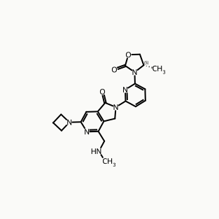 CNCc1nc(N2CCC2)cc2c1CN(c1cccc(N3C(=O)OC[C@@H]3C)n1)C2=O